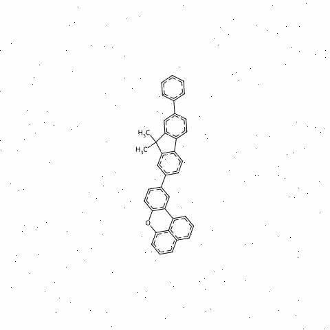 CC1(C)c2cc(-c3ccccc3)ccc2-c2ccc(-c3ccc4c(c3)-c3cccc5cccc(c35)O4)cc21